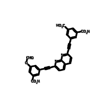 O=COc1cc(C#Cc2ccc3ccc(C#Cc4cc(C(=O)O)cc(C(=O)O)c4)nc3n2)cc(C(=O)O)c1